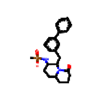 CS(=O)(=O)NC1CCC2CCCC(=O)N2C1Cc1cccc(-c2ccccc2)c1